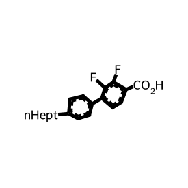 CCCCCCCc1ccc(-c2ccc(C(=O)O)c(F)c2F)cc1